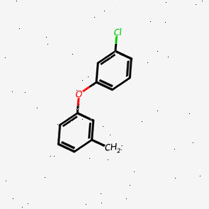 [CH2]c1cccc(Oc2cccc(Cl)c2)c1